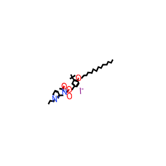 CCCCCCCCCCCCCCOc1ccc(COC(=O)N(Cc2ccc[n+](CCC)c2)C(C)=O)cc1C(C)(C)C.[I-]